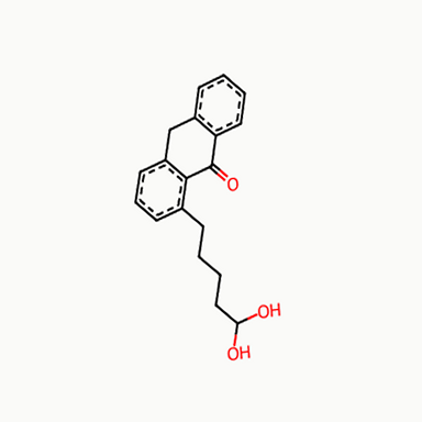 O=C1c2ccccc2Cc2cccc(CCCCC(O)O)c21